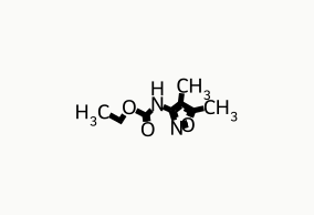 CCOC(=O)Nc1noc(C)c1C